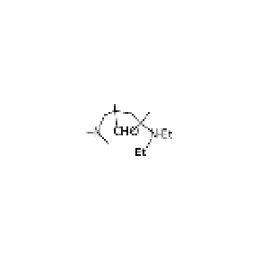 CCN(CC)C(C)(C)CC(C)(C=O)CN(C)C